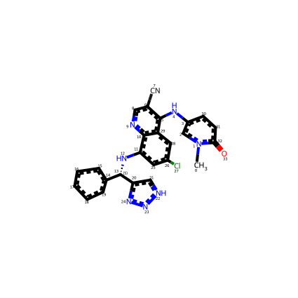 Cn1cc(Nc2c(C#N)cnc3c(N[C@@H](c4ccccc4)c4c[nH]nn4)cc(Cl)cc23)ccc1=O